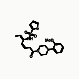 C/C=C(\C=C/CC(=O)N1CCN(c2ccccc2OC)CC1)NS(=O)(=O)c1cccs1